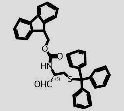 O=C[C@@H](CSC(c1ccccc1)(c1ccccc1)c1ccccc1)NC(=O)OCC1c2ccccc2-c2ccccc21